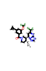 C[C@@H]1CCN(C(=O)c2cc(OC(F)F)cc(C3CC3)c2)C[C@H]1c1cc(C(F)F)nc2ncnn12